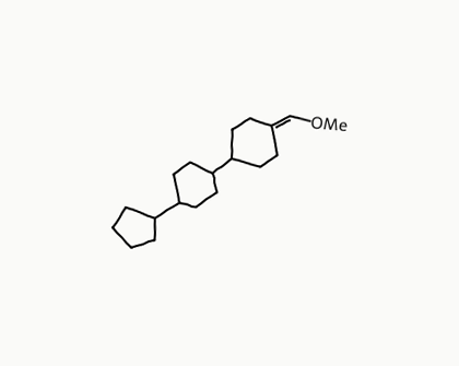 COC=C1CCC(C2CCC(C3CCCC3)CC2)CC1